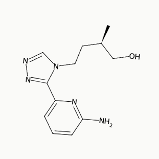 C[C@@H](CO)CCn1cnnc1-c1cccc(N)n1